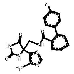 Cc1ncsc1C1(CNC(=O)c2ccccc2-c2ccc(Cl)cc2)NC(=O)NC1=O